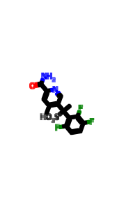 Cc1cc(C(N)=O)ncc1C(C)(c1c(F)ccc(F)c1F)S(=O)(=O)O